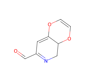 O=CC1=NCC2OC=COC2=C1